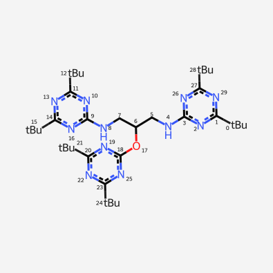 CC(C)(C)c1nc(NCC(CNc2nc(C(C)(C)C)nc(C(C)(C)C)n2)Oc2nc(C(C)(C)C)nc(C(C)(C)C)n2)nc(C(C)(C)C)n1